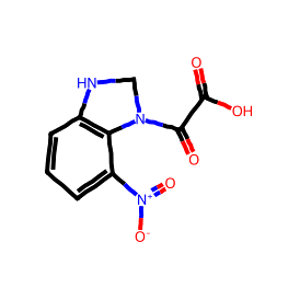 O=C(O)C(=O)N1CNc2cccc([N+](=O)[O-])c21